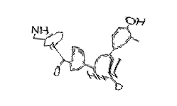 Cc1cc(-c2cc(-c3ccc(C(=O)N4CCCC(CN)C4)cc3)[nH]c(=O)n2)ccc1O